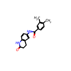 Cc1ccc(C(=O)Nc2ccc3c(c2)CCC(=O)N3)cc1C